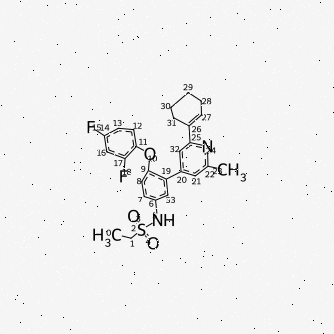 CCS(=O)(=O)Nc1ccc(Oc2ccc(F)cc2F)c(-c2cc(C)nc(C3=CCCCC3)c2)c1